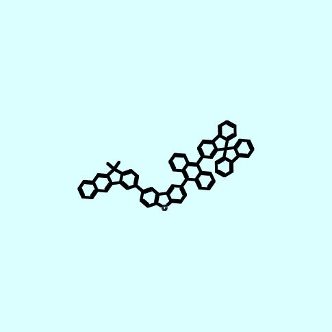 CC1(C)c2ccc(-c3ccc4oc5ccc(-c6c7ccccc7c(-c7ccc8c(c7)C7(c9ccccc9-c9ccccc97)c7ccccc7-8)c7ccccc67)cc5c4c3)cc2-c2cc3ccccc3cc21